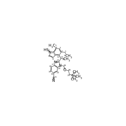 CCc1cc(C)c2c(ccn2S)c1C(C)c1nc2ccc(C#N)cc2n1COCC[Si](C)(C)C